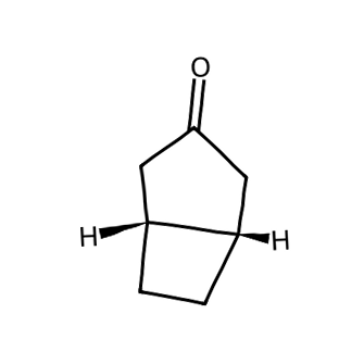 O=C1C[C@H]2CC[C@H]2C1